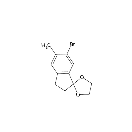 Cc1cc2c(cc1Br)C1(CC2)OCCO1